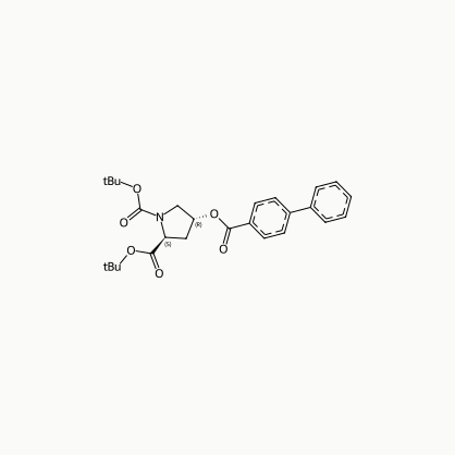 CC(C)(C)OC(=O)[C@@H]1C[C@@H](OC(=O)c2ccc(-c3ccccc3)cc2)CN1C(=O)OC(C)(C)C